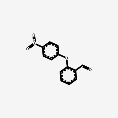 O=Cc1ccccc1Oc1ccc([SH](=O)=O)cc1